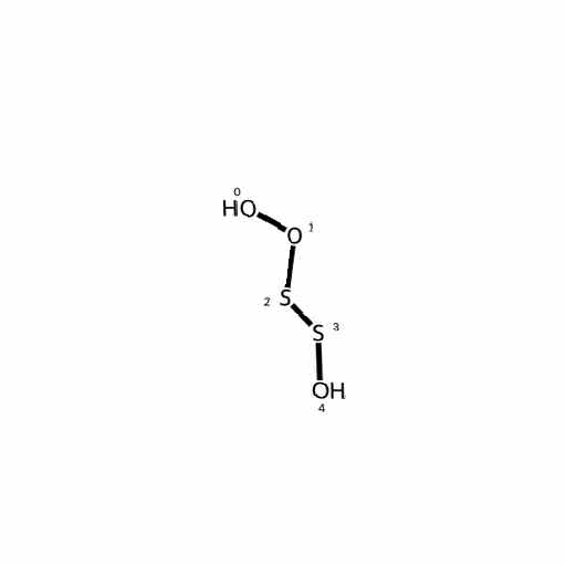 OOSSO